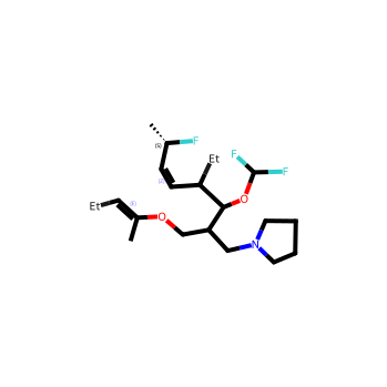 CC/C=C(\C)OCC(CN1CCCC1)C(OC(F)F)C(/C=C\[C@H](C)F)CC